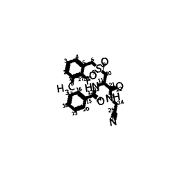 Cc1cccc(CS(=O)(=O)CC(NC(=O)c2ccccc2)C(=O)NCC#N)c1F